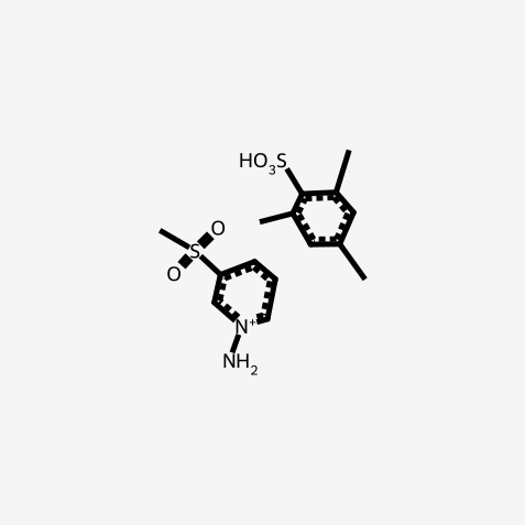 CS(=O)(=O)c1ccc[n+](N)c1.Cc1cc(C)c(S(=O)(=O)O)c(C)c1